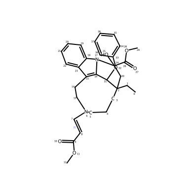 CCC12CCCN(/C=C/C(=O)OC)CCc3c(n(c4ccccc34)C(O)(C(=O)OC)C1)C2Oc1ccccc1